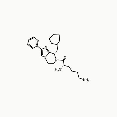 NCCCC[C@H](N)C(=O)N1CCn2cc(-c3ccccc3)nc2[C@@H]1CC1CCCCC1